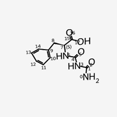 NC(=O)NC(=O)N[C@@H](Cc1ccccc1)C(=O)O